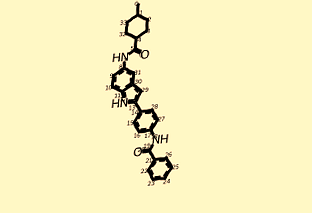 CC1CCC(C(=O)Nc2ccc3[nH]c(-c4ccc(NC(=O)c5ccccc5)cc4)cc3c2)CC1